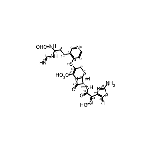 N=CNC(CSc1cnccc1SC1=C(C(=O)O)N2C(=O)[C@@H](NC(=O)/C(=N\O)c3nc(N)sc3Cl)[C@@H]2SC1)NC=O